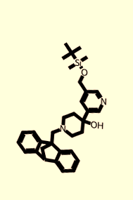 CC(C)(C)[Si](C)(C)OCc1cncc(C2(O)CCN(CC34CC(c5ccccc53)c3ccccc34)CC2)c1